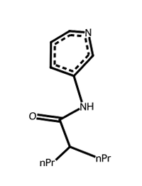 CCCC(CCC)C(=O)Nc1cccnc1